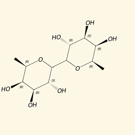 C[C@H]1O[C](C2O[C@H](C)[C@H](O)[C@H](O)[C@H]2O)[C@H](O)[C@@H](O)[C@H]1O